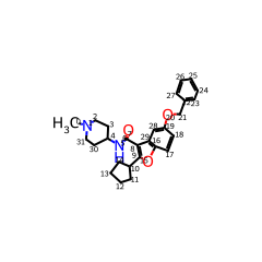 CN1CCC(NC(=O)c2c(C3CCCC3)oc3ccc(OCc4ccccc4)cc23)CC1